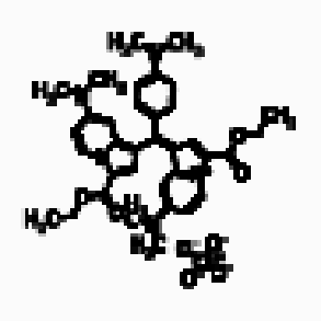 CCOC(=O)C1=CC(=C(c2ccc(N(C)C)cc2)c2cc(C(=O)OCC)n3ccc(N(C)C)cc23)c2cc(N(C)C)cc[n+]21.[O-][Cl+3]([O-])([O-])[O-]